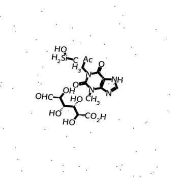 CC(=O)Cn1c(=O)c2[nH]cnc2n(C)c1=O.C[SiH2]O.O=C[C@@H](O)[C@@H](O)[C@H](O)[C@H](O)C(=O)O